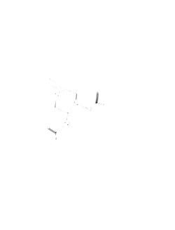 S=C([S-])NC1CNCCN1NC(=S)[S-].[Na+].[Na+]